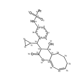 CC(C)S(=O)(=O)Nc1cccc(C(C2CC2)C2C(=O)OC3=CC=CCCCC3C2O)c1